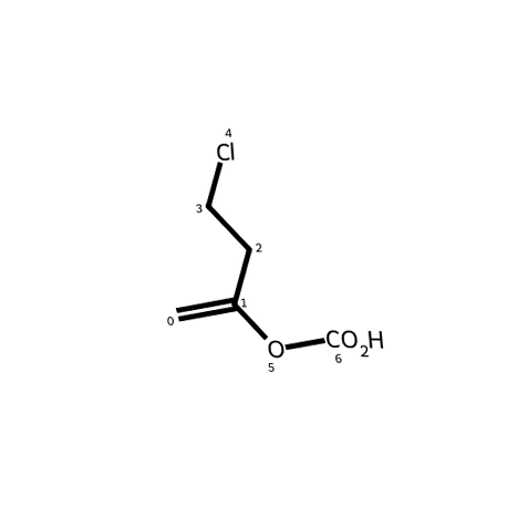 C=C(CCCl)OC(=O)O